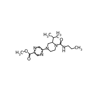 CCCNC(=O)N1CCN(c2cnc(C(=O)OC)cn2)CC1C(C)C